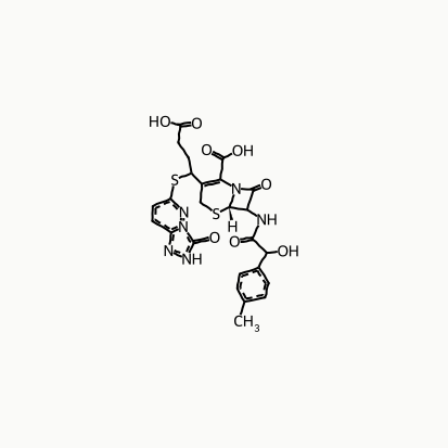 Cc1ccc(C(O)C(=O)NC2C(=O)N3C(C(=O)O)=C(C(CCC(=O)O)Sc4ccc5n[nH]c(=O)n5n4)CS[C@@H]23)cc1